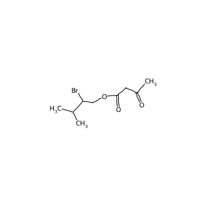 CC(=O)CC(=O)OCC(Br)C(C)C